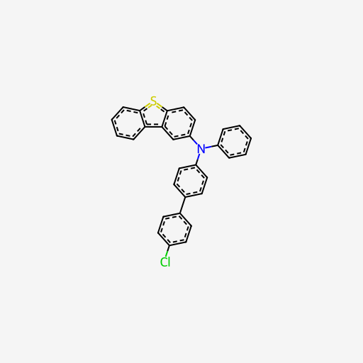 Clc1ccc(-c2ccc(N(c3ccccc3)c3ccc4sc5ccccc5c4c3)cc2)cc1